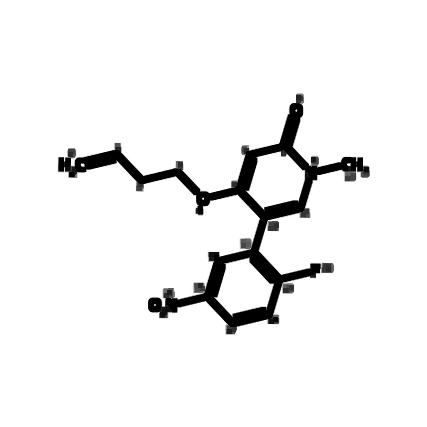 C=CCCOc1cc(=O)n(C)cc1-c1cc([N+](=O)[O-])ccc1F